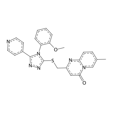 COc1ccccc1-n1c(SCc2cc(=O)n3cc(C)ccc3n2)nnc1-c1ccncc1